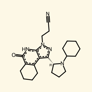 N#CCCn1nc([C@H]2CCCN2C2CCCCC2)c2c3c(c(=O)[nH]c21)CCCC3